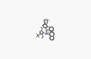 CCC1=[C](/[Zr+2](=[CH]/c2cccc3ccccc23)[CH]2c3ccccc3-c3ccccc32)C(CC)C=C1C(C)(C)C.[Cl-].[Cl-]